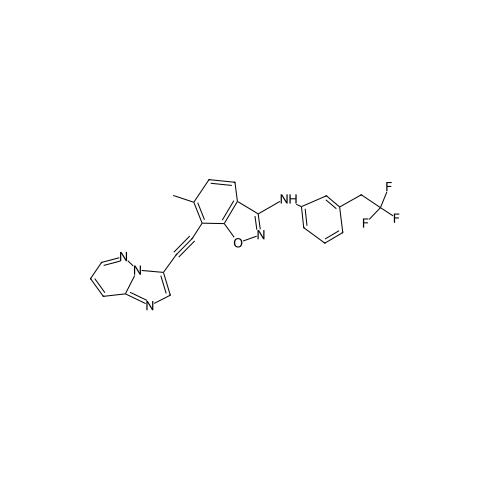 Cc1ccc2c(Nc3cccc(CC(F)(F)F)c3)noc2c1C#Cc1cnc2cccnn12